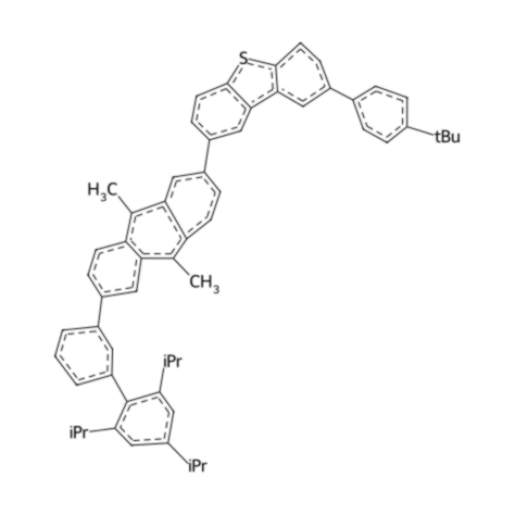 Cc1c2ccc(-c3ccc4sc5ccc(-c6ccc(C(C)(C)C)cc6)cc5c4c3)cc2c(C)c2ccc(-c3cccc(-c4c(C(C)C)cc(C(C)C)cc4C(C)C)c3)cc12